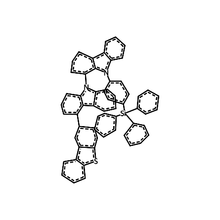 c1ccc([Si](c2ccccc2)(c2ccccc2)c2ccc(-n3c4ccccc4c4cccc(-n5c6ccccc6c6c(-c7ccc8sc9ccccc9c8c7)cccc65)c43)cc2)cc1